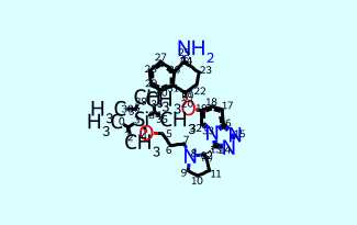 CC(C)[Si](OCCCN1CCC[C@H]1c1nnc2ccc(O[C@@H]3CC[C@H](N)c4ccccc43)cn12)(C(C)C)C(C)C